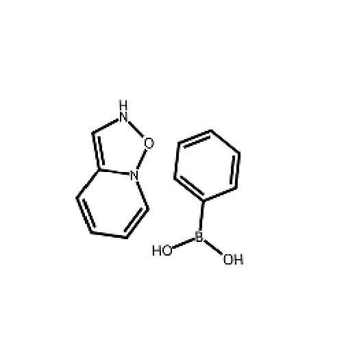 C1=CC2=CNON2C=C1.OB(O)c1ccccc1